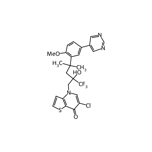 COc1ccc(-c2cncnc2)cc1C(C)(C)CC(O)(Cn1cc(Cl)c(=O)c2sccc21)C(F)(F)F